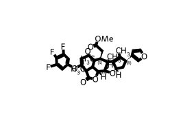 COC(=O)C[C@H]1[C@]2(C)C3=C(C)[C@H](c4ccoc4)C[C@@H]3O[C@@H]2[C@@H]2OC(=O)[C@]3(C)C(Oc4cc(F)c(F)c(F)c4)=CC(=O)[C@@]1(C)C23